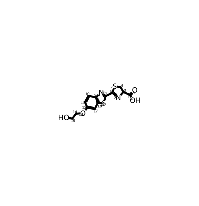 O=C(O)C1CSC(c2nc3ccc(OCCO)cc3s2)=N1